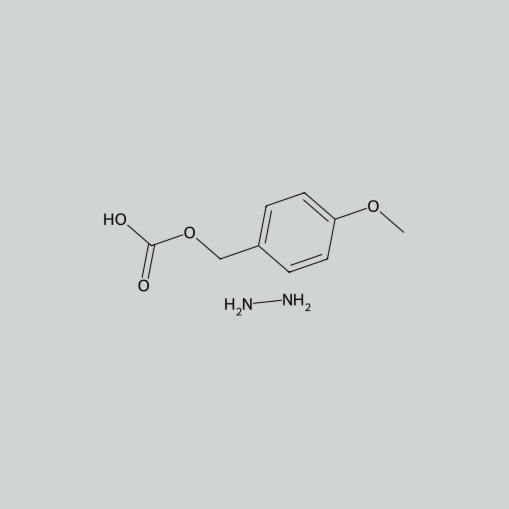 COc1ccc(COC(=O)O)cc1.NN